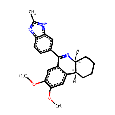 COc1cc2c(cc1OC)[C@@H]1CCCC[C@@H]1N=C2c1ccc2nc(C)[nH]c2c1